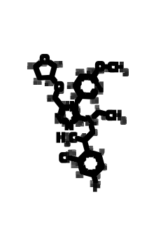 CCN(CC(C)c1ccc(F)cc1Cl)c1nnc(COC2CCOC2)n1-c1ccc(OC)nc1